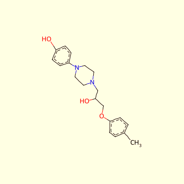 Cc1ccc(OCC(O)CN2CCN(c3ccc(O)cc3)CC2)cc1